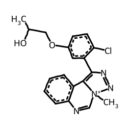 CC(O)COc1ccc(Cl)c(C2=C3c4ccccc4N=C[N+]3(C)N=N2)c1